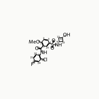 COc1ccc(S(=O)(=O)N[C@H]2C[C@@H](O)C2)cc1C(=O)Nc1ccc(F)cc1Cl